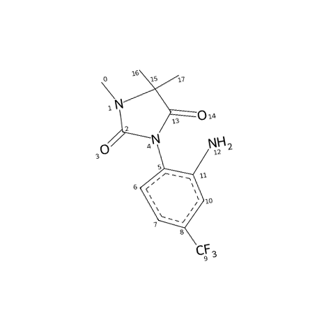 CN1C(=O)N(c2ccc(C(F)(F)F)cc2N)C(=O)C1(C)C